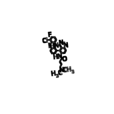 CN(C)C/C=C/C(=O)Nc1ccc2ncnc(Nc3ccc(F)c(Cl)c3F)c2c1-c1ccccc1